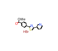 Br.COC(=O)c1ccc(-c2nc(-c3cccnc3)cs2)cc1